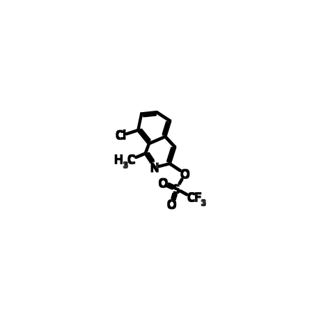 Cc1nc(OS(=O)(=O)C(F)(F)F)cc2cccc(Cl)c12